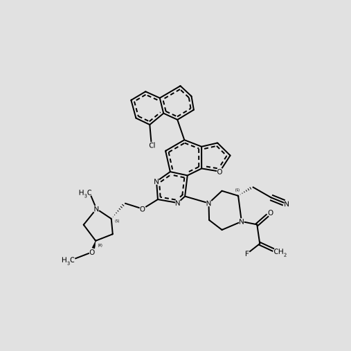 C=C(F)C(=O)N1CCN(c2nc(OC[C@@H]3C[C@@H](OC)CN3C)nc3cc(-c4cccc5cccc(Cl)c45)c4ccoc4c23)C[C@@H]1CC#N